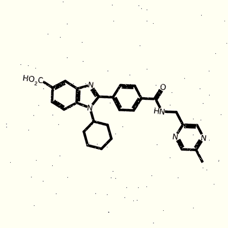 Cc1cnc(CNC(=O)c2ccc(-c3nc4cc(C(=O)O)ccc4n3C3CCCCC3)cc2)cn1